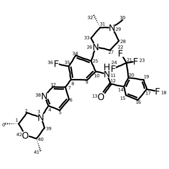 C[C@@H]1CN(c2ccc(-c3cc(NC(=O)c4ccc(F)cc4C(F)(F)F)c(N4CCN(C)[C@@H](C)C4)cc3F)cn2)C[C@H](C)O1